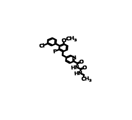 CCNC(=O)NC(=O)c1ccc(Cc2ccc(OC)c(-c3cccc(Cl)c3)c2F)cn1